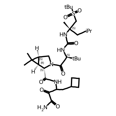 CC(C)C[C@@](C)(CS(=O)(=O)C(C)(C)C)NC(=O)N[C@H](C(=O)N1C[C@H]2[C@@H]([C@H]1C(=O)NC(CC1CCC1)C(=O)C(N)=O)C2(C)C)C(C)(C)C